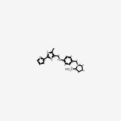 Cc1oc(-c2cccs2)nc1COc1ccc(CN2CCCC2C(=O)O)cc1